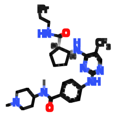 CC(C)CCNC(=O)[C@H]1CCC[C@H]1Nc1nc(Nc2ccc(C(=O)N(C)C3CCN(C)CC3)cc2)ncc1C(F)(F)F